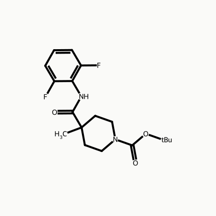 CC(C)(C)OC(=O)N1CCC(C)(C(=O)Nc2c(F)cccc2F)CC1